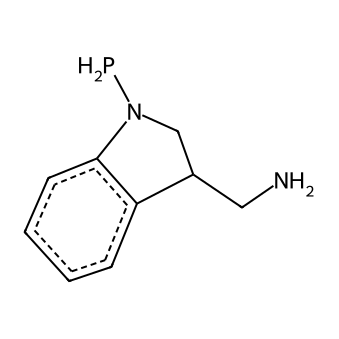 NCC1CN(P)c2ccccc21